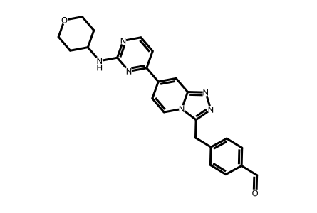 O=Cc1ccc(Cc2nnc3cc(-c4ccnc(NC5CCOCC5)n4)ccn23)cc1